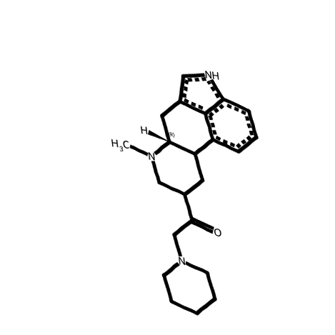 CN1CC(C(=O)CN2CCCCC2)CC2c3cccc4[nH]cc(c34)C[C@H]21